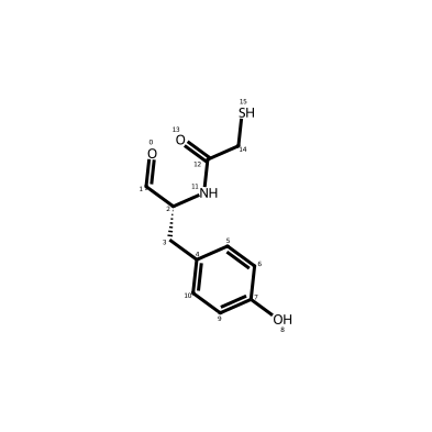 O=[C][C@@H](Cc1ccc(O)cc1)NC(=O)CS